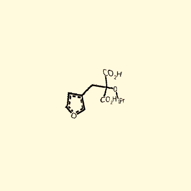 CC(C)OC(Cc1ccoc1)(C(=O)O)C(=O)O